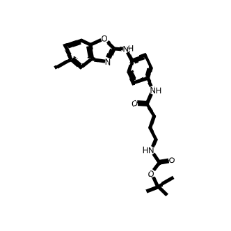 Cc1ccc2oc(Nc3ccc(NC(=O)CCCNC(=O)OC(C)(C)C)cc3)nc2c1